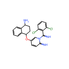 N=C(c1c(Cl)cccc1Cl)n1cc(OC2CCC(N)c3ccccc32)ccc1=N